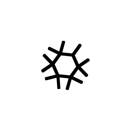 CC1C(C)(C)C(C)(C)C(C)(C)C(C)(C)C1(C)C